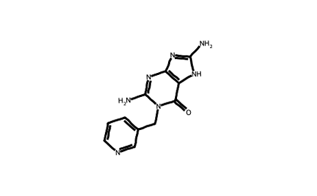 Nc1nc2nc(N)n(Cc3cccnc3)c(=O)c2[nH]1